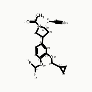 CC(=O)N1CC(c2ccc(OC(F)F)c(OCC3CC3)c2)C[C@H]1CC#N